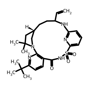 C=CC1CC[C@@H]2CN(c3nc(C(C)(C)C)ccc3C(=O)NS(=O)(=O)c3cccc(n3)N1)C(C)(C)C2